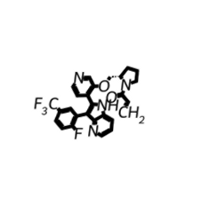 C=CC(=O)N1CCC[C@H]1COc1cnccc1-c1[nH]c2cccnc2c1-c1cc(C(F)(F)F)ccc1F